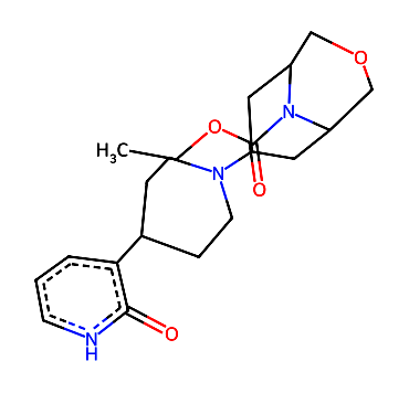 CCOC(=O)N1C2COCC1CC(N1CCC(c3ccc[nH]c3=O)CC1)C2